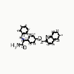 NC(=O)/C(=C/c1ccccc1)c1ccc(OCc2ccc3ccccc3n2)cc1